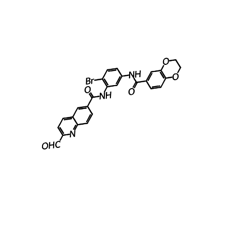 O=Cc1ccc2cc(C(=O)Nc3cc(NC(=O)c4ccc5c(c4)OCCO5)ccc3Br)ccc2n1